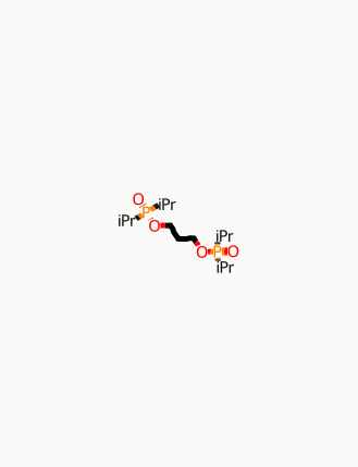 CC(C)P(=O)(OCCCOP(=O)(C(C)C)C(C)C)C(C)C